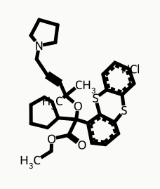 CCOC(=O)C(OC(C)(C)C#CCN1CCCC1)(c1cccc2c1Sc1ccccc1S2)C1CCCCC1.Cl